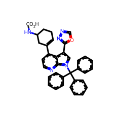 O=C(O)NC1CCC=C(c2ccnc3c2c(-c2nnco2)cn3C(c2ccccc2)(c2ccccc2)c2ccccc2)C1